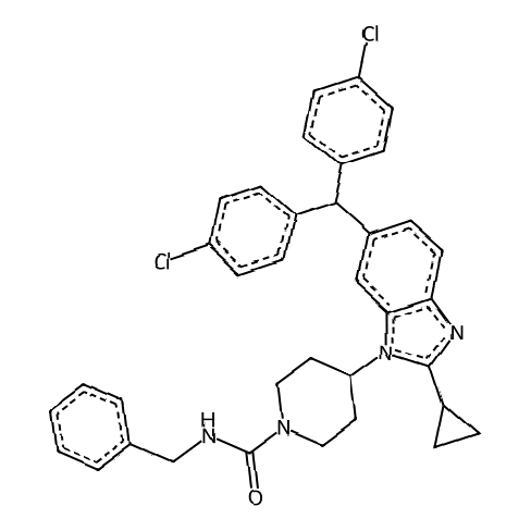 O=C(NCc1ccccc1)N1CCC(n2c(C3CC3)nc3ccc(C(c4ccc(Cl)cc4)c4ccc(Cl)cc4)cc32)CC1